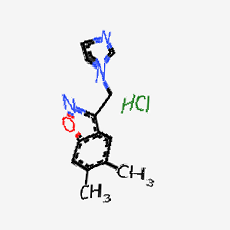 Cc1cc2onc(Cn3ccnc3)c2cc1C.Cl